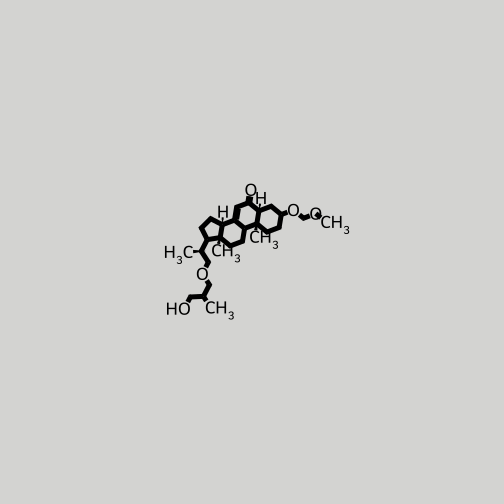 COCOC1CC[C@]2(C)C3CC[C@]4(C)C([C@H](C)COCC(C)CO)CC[C@H]4C3=CC(=O)[C@H]2C1